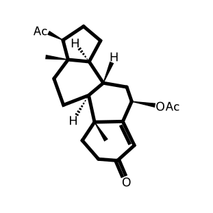 CC(=O)O[C@@H]1C[C@H]2[C@@H]3CC[C@H](C(C)=O)[C@@]3(C)CC[C@@H]2[C@@]2(C)CCC(=O)C=C12